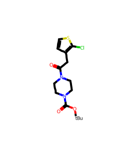 CC(C)(C)OC(=O)N1CCN(C(=O)Cc2ccsc2Cl)CC1